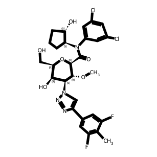 CO[C@@H]1[C@@H](n2cc(-c3cc(F)c(C)c(F)c3)nn2)[C@@H](O)[C@@H](CO)O[C@H]1C(=O)N(c1cc(Cl)cc(Cl)c1)[C@H]1CCC[C@@H]1O